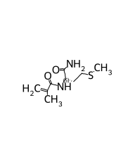 C=C(C)C(=O)N[C@@H](CCSC)C(N)=O